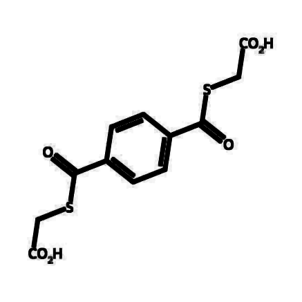 O=C(O)CSC(=O)c1ccc(C(=O)SCC(=O)O)cc1